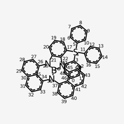 c1ccc(S(c2ccccc2)(c2ccccc2)c2cccc3c2N2B4N3c3cccc5cccc(c35)N4c3cccc4cccc2c34)cc1